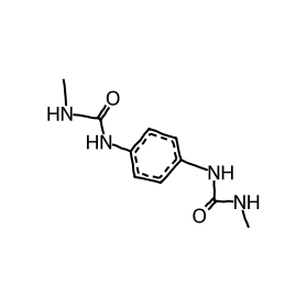 CNC(=O)Nc1ccc(NC(=O)NC)cc1